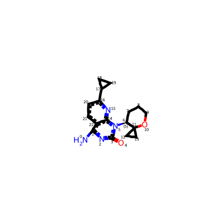 Nc1nc(=O)n([C@H]2CCCOC23CC3)c2nc(C3CC3)ccc12